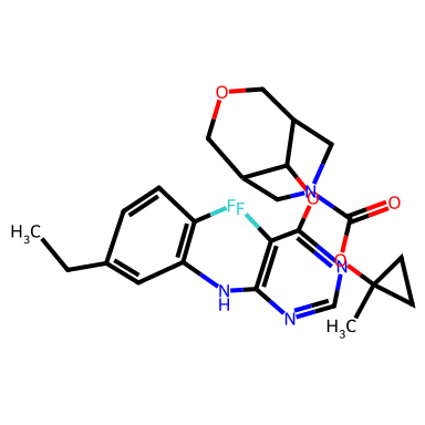 CCc1ccc(F)c(Nc2ncnc(OC3C4COCC3CN(C(=O)OC3(C)CC3)C4)c2F)c1